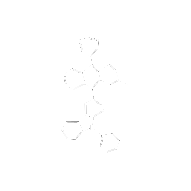 Cc1ccc2c(-c3ccccc3)c3ccccc3c(-c3ccc4c(c3)c3ccccc3p4-c3ccccc3)c2c1